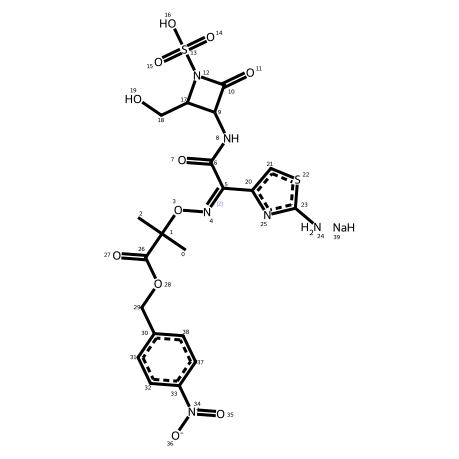 CC(C)(O/N=C(\C(=O)NC1C(=O)N(S(=O)(=O)O)C1CO)c1csc(N)n1)C(=O)OCc1ccc([N+](=O)[O-])cc1.[NaH]